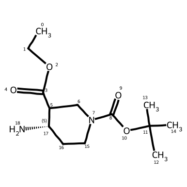 CCOC(=O)C1CN(C(=O)OC(C)(C)C)CC[C@@H]1N